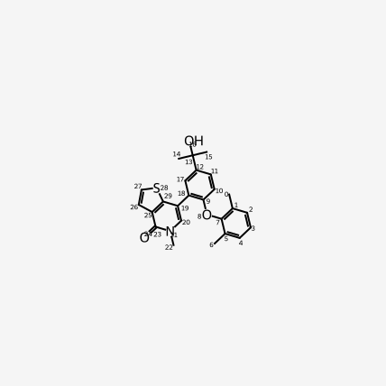 Cc1cccc(C)c1Oc1ccc(C(C)(C)O)cc1-c1cn(C)c(=O)c2ccsc12